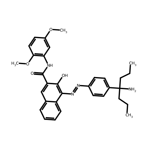 CCCC(N)(CCC)c1ccc(N=Nc2c(O)c(C(=O)Nc3cc(OC)ccc3OC)cc3ccccc23)cc1